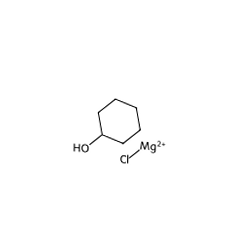 OC1CCCCC1.[Mg+2][Cl]